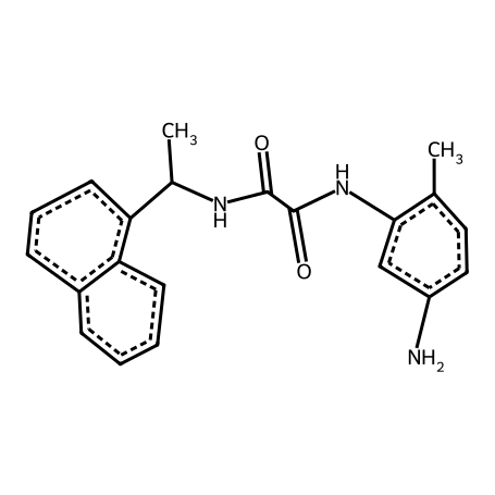 Cc1ccc(N)cc1NC(=O)C(=O)NC(C)c1cccc2ccccc12